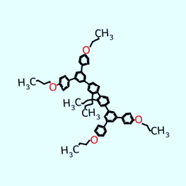 CCCCOc1ccc(-c2cc(-c3ccc(OCCCC)cc3)cc(-c3ccc4c(c3)C(CCC)(CCC)c3cc(-c5cc(-c6ccc(OCCCC)cc6)cc(-c6ccc(OCCCC)cc6)c5)ccc3-4)c2)cc1